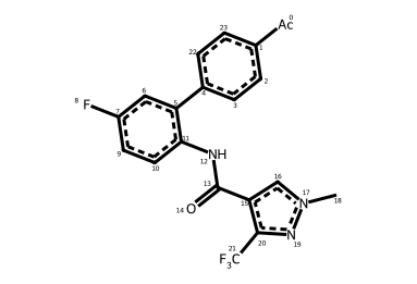 CC(=O)c1ccc(-c2cc(F)ccc2NC(=O)c2cn(C)nc2C(F)(F)F)cc1